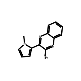 CC(C)c1nc2ccccc2nc1-c1cccn1C